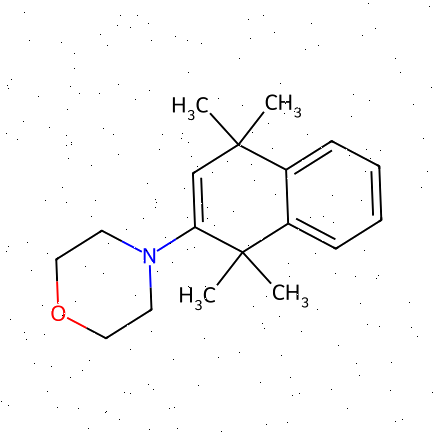 CC1(C)C=C(N2CCOCC2)C(C)(C)c2ccccc21